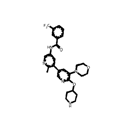 Cc1ncc(NC(=O)c2cccc(C(F)(F)F)c2)cc1-c1cnc(OC2CCNCC2)c(N2CCOCC2)c1